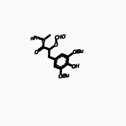 CCCN(C)C(=O)C(Cc1cc(OCC(C)C)c(O)c(OCC(C)C)c1)OC=O